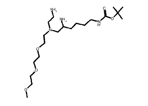 COCCOCCOCCN(CCN)CC(N)CCCCNC(=O)OC(C)(C)C